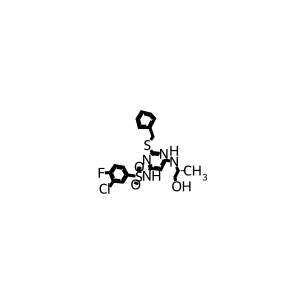 C[C@H](CO)Nc1cc(NS(=O)(=O)c2ccc(F)c(Cl)c2)nc(SCc2ccccc2)n1